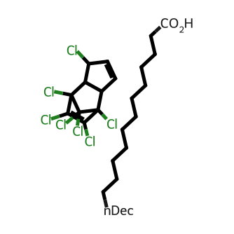 CCCCCCCCCCCCCCCCCCCCCC(=O)O.ClC1=C(Cl)C2(Cl)C3C(Cl)C=CC3C1(Cl)C2(Cl)Cl